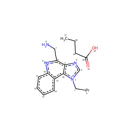 CC(C)Cn1cnc2c(CN)nc3ccccc3c21.CCCC(=O)O